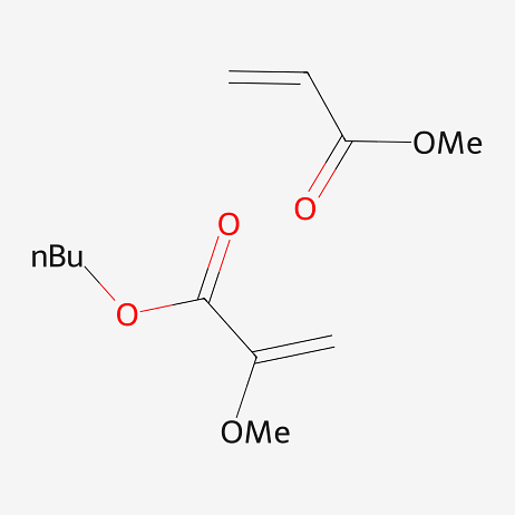 C=C(OC)C(=O)OCCCC.C=CC(=O)OC